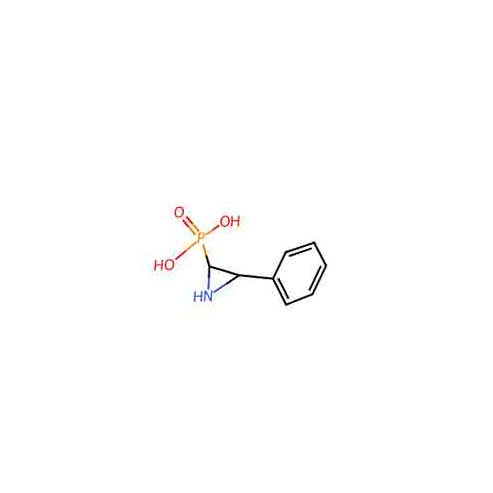 O=P(O)(O)C1NC1c1ccccc1